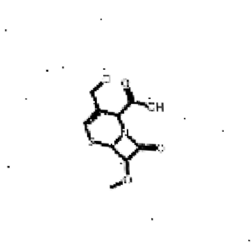 COC1C(=O)N2C(C(=O)O)C(CCl)=CSC12